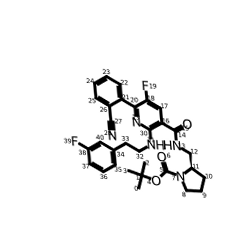 CC(C)(C)OC(=O)N1CCC[C@@H]1CNC(=O)c1cc(F)c(-c2ccccc2C#N)nc1NCCc1cccc(F)c1